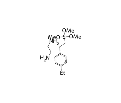 CCc1ccc(CC[Si](OC)(OC)OC)cc1.NCCN